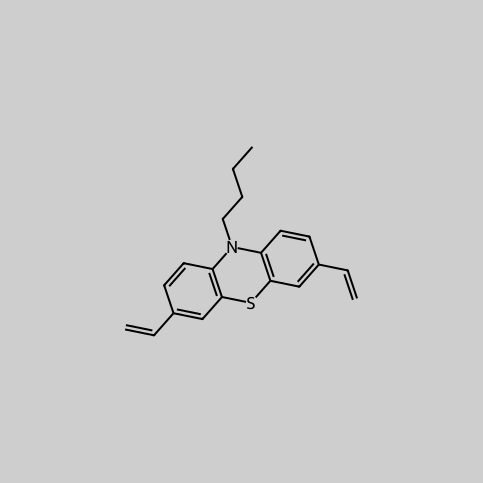 C=Cc1ccc2c(c1)Sc1cc(C=C)ccc1N2CCCC